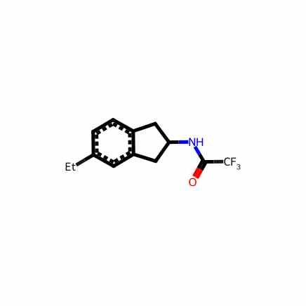 CCc1ccc2c(c1)CC(NC(=O)C(F)(F)F)C2